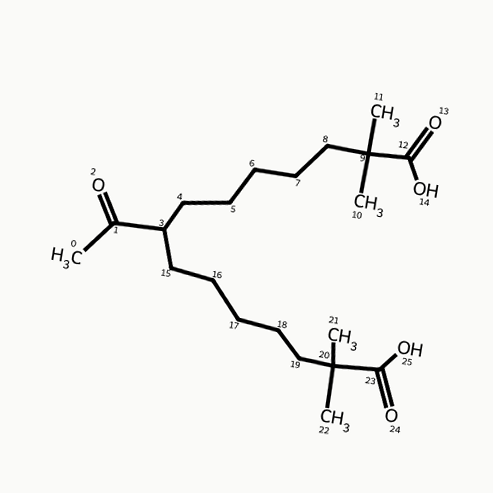 CC(=O)C(CCCCCC(C)(C)C(=O)O)CCCCCC(C)(C)C(=O)O